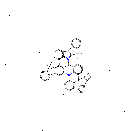 CC1(C)c2ccccc2-c2cc3c4c(c21)-c1cccc2c5c(n(c12)B4c1cccc2c1N3c1ccccc1[Si]21c2ccccc2-c2ccccc21)C(C)(C)c1ccccc1-5